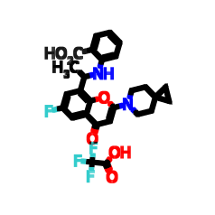 CC(Nc1ccccc1C(=O)O)c1cc(F)cc2c(=O)cc(N3CCC4(CC3)CC4)oc12.O=C(O)C(F)(F)F